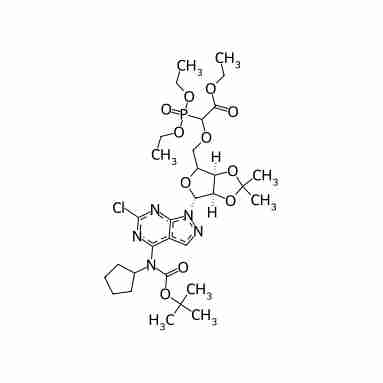 CCOC(=O)C(OCC1O[C@@H](n2ncc3c(N(C(=O)OC(C)(C)C)C4CCCC4)nc(Cl)nc32)[C@@H]2OC(C)(C)O[C@H]12)P(=O)(OCC)OCC